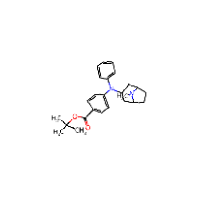 CN1C2CCC1CC(N(c1ccccc1)c1ccc(C(=O)OC(C)(C)C)cc1)C2